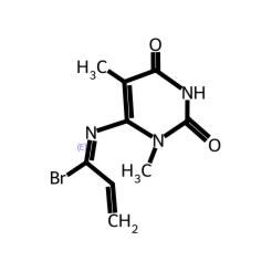 C=C/C(Br)=N\c1c(C)c(=O)[nH]c(=O)n1C